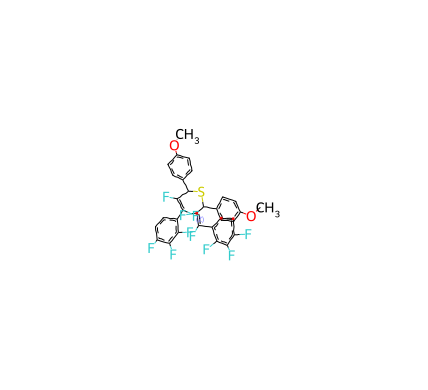 COc1ccc(C(SC(/C(F)=C(/F)c2ccc(F)c(F)c2F)c2ccc(OC)cc2)C(F)=C(F)c2ccc(F)c(F)c2F)cc1